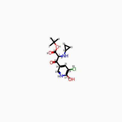 CC(C)(C)OC(=O)C(NC1CC1)C(=O)c1cnc(O)c(Cl)c1